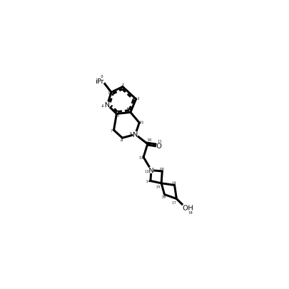 CC(C)c1ccc2c(n1)CCN(C(=O)CN1CC3(CC(O)C3)C1)C2